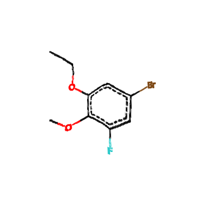 CCOc1cc(Br)cc(F)c1OC